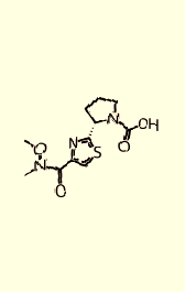 CON(C)C(=O)c1csc([C@@H]2CCCN2C(=O)O)n1